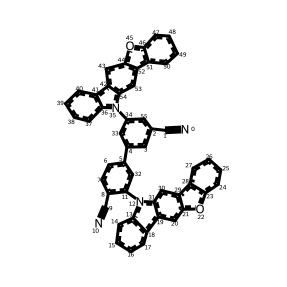 N#Cc1cc(-c2ccc(C#N)c(-n3c4ccccc4c4cc5oc6ccccc6c5cc43)c2)cc(-n2c3ccccc3c3cc4oc5ccccc5c4cc32)c1